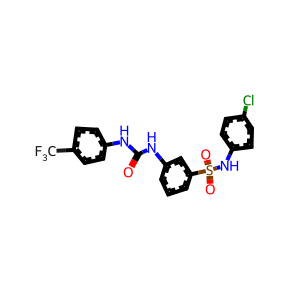 O=C(Nc1ccc(C(F)(F)F)cc1)Nc1cccc(S(=O)(=O)Nc2ccc(Cl)cc2)c1